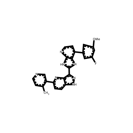 COc1cc(F)cc(-c2ccnc3[nH]c(-c4n[nH]c5ccc(-c6cnccc6C)nc45)nc23)c1